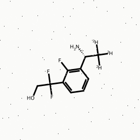 [2H]C([2H])([2H])[C@@H](N)c1cccc(C(F)(F)CO)c1F